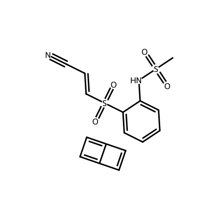 CS(=O)(=O)Nc1ccccc1S(=O)(=O)C=CC#N.c1cc2ccc1-2